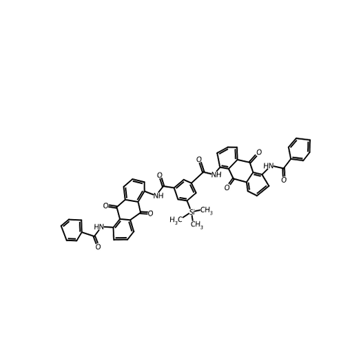 C[Si](C)(C)c1cc(C(=O)Nc2cccc3c2C(=O)c2cccc(NC(=O)c4ccccc4)c2C3=O)cc(C(=O)Nc2cccc3c2C(=O)c2cccc(NC(=O)c4ccccc4)c2C3=O)c1